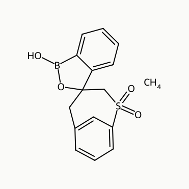 C.O=S1(=O)CC2(Cc3cccc1c3)OB(O)c1ccccc12